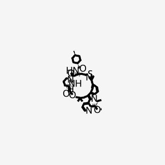 CCn1c(-c2cccnc2[C@H](C)OC)c2c3cc(ccc31)-c1csc(n1)C[C@H](NC(=O)[C@H]1CC[C@H](C)CC1)C(=O)N1CCC[C@H](N1)C(=O)OCC(C)(C)C2